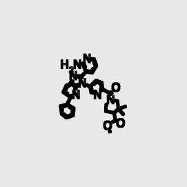 COC(=O)C1CCN(C(=O)c2ccc(-n3c(-c4cccnc4N)nc4ccc(-c5ccccc5)nc43)cn2)CC1(C)C